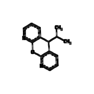 CC(C)C1c2cccnc2Oc2ncccc21